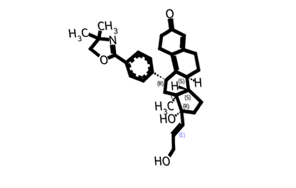 CC1(C)COC(c2ccc([C@H]3C[C@@]4(C)[C@@H](CC[C@@]4(O)/C=C/CO)[C@@H]4CCC5=CC(=O)CCC5=C43)cc2)=N1